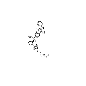 CC(=O)C(ON1CCC[C@H]1c1ncc(CCC(=O)O)s1)c1ccc(Nc2nc3ccccc3s2)c(Cl)c1